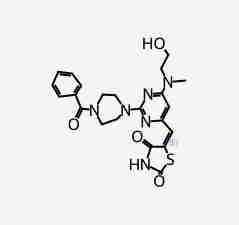 CN(CCO)c1cc(/C=C2/SC(=O)NC2=O)nc(N2CCN(C(=O)c3ccccc3)CC2)n1